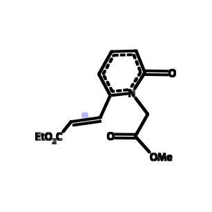 CCOC(=O)/C=C/c1cccc(=O)n1CC(=O)OC